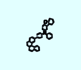 c1ccc(N(c2ccc(-c3ccc4ccc5ccc6ccccc6c5c4c3)cc2)c2ccc3oc4ccccc4c3c2)cc1